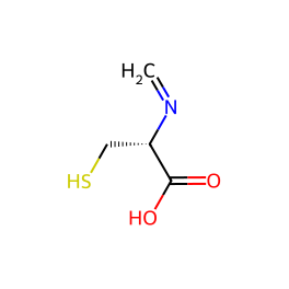 C=N[C@@H](CS)C(=O)O